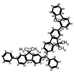 CC1(C)c2cc(-c3ccccc3)ccc2-c2ccc(N(c3ccccc3)c3ccc4c(c3)C(C)(C)c3cc(-c5cccc6c5oc5ccccc56)ccc3-4)cc21